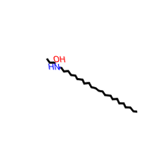 CCCCCCCCCCCCCCCCCCCCCCCNC(O)CC